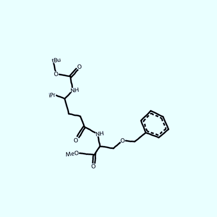 COC(=O)C(COCc1ccccc1)NC(=O)CCC(NC(=O)OC(C)(C)C)C(C)C